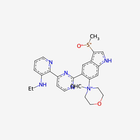 CCNc1cccnc1-c1ccnc(-c2cc3c([S+](C)[O-])c[nH]c3cc2[N+]2(C=O)CCOCC2)n1